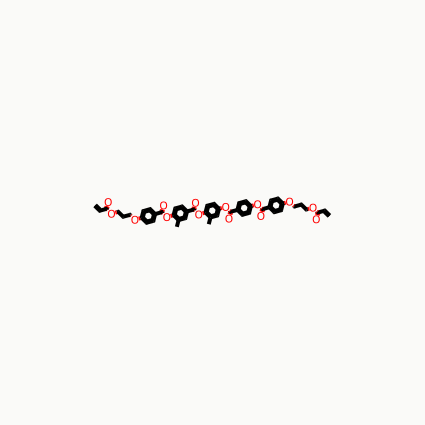 C=CC(=O)OCCCOc1ccc(C(=O)Oc2ccc(C(=O)Oc3ccc(OC(=O)c4ccc(OC(=O)c5ccc(OCCCOC(=O)C=C)cc5)c(C)c4)c(C)c3)cc2)cc1